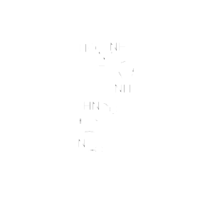 N=C(NO)c1cccc(NCC(=O)Nc2ccc(N3CCCCC3=O)cc2)c1